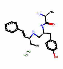 CCCC[C@H](N)C(=O)N[C@H](CN[C@H](/C=C/c1ccccc1)CC(C)C)Cc1ccc(O)cc1.Cl.Cl